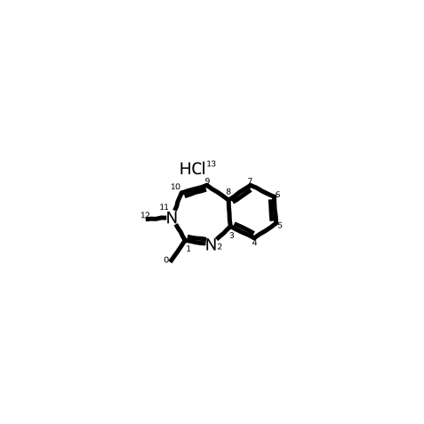 CC1=Nc2ccccc2C=CN1C.Cl